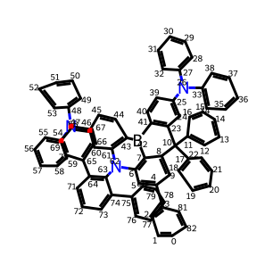 c1ccc(-c2cc3c4c(c2)C(c2ccccc2)(c2ccccc2)c2cc(N(c5ccccc5)c5ccccc5)ccc2B4c2ccc(N(c4ccccc4)c4ccccc4)cc2N3c2c(-c3ccccc3)cccc2-c2ccccc2)cc1